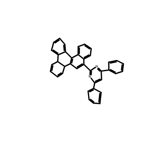 C1=CC2c3ccccc3-c3c(cc(-c4nc(-c5ccccc5)cc(-c5ccccc5)n4)c4ccccc34)C2C=C1